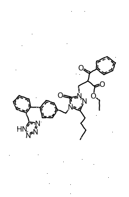 CCCCc1nn(CC(C(=O)OCC)C(=O)c2ccccc2)c(=O)n1Cc1ccc(-c2ccccc2-c2nnn[nH]2)cc1